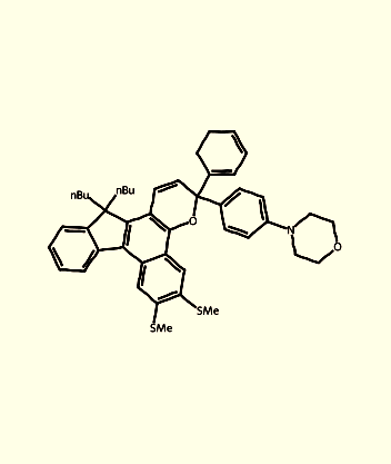 CCCCC1(CCCC)c2ccccc2-c2c1c1c(c3cc(SC)c(SC)cc23)OC(C2=CC=CCC2)(c2ccc(N3CCOCC3)cc2)C=C1